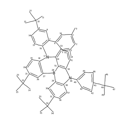 Cc1cc(C)cc(-c2cc(C(C)(C)C)ccc2N2c3ccc(C(C)(C)C)cc3B3c4cc(C(C)(C)C)ccc4N(c4ccc(C(C)(C)C)cc4)c4cccc2c43)c1